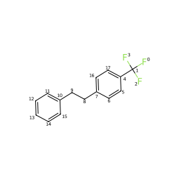 FC(F)(F)c1ccc(CCc2ccccc2)cc1